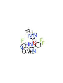 COc1ncc(F)cc1-c1ccnc(C2CCC(F)(F)CC2)c1NC(=O)c1cnc(C(C)(C)C)nc1